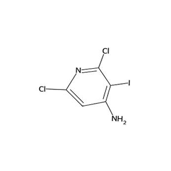 Nc1cc(Cl)nc(Cl)c1I